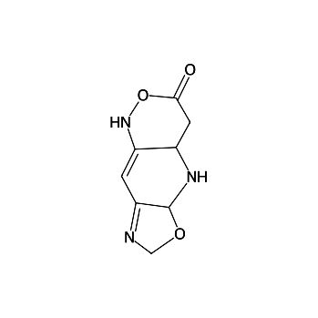 O=C1CC2NC3OCN=C3C=C2NO1